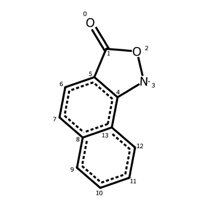 O=C1O[N]c2c1ccc1ccccc21